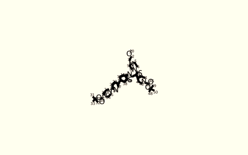 COCCN1CCN(c2sc3c(c2-c2nc4ccc(-c5ccc(N6CCN(C(=O)OC(C)(C)C)CC6)nc5)cc4s2)CCN(C(=O)OC(C)(C)C)C3)CC1